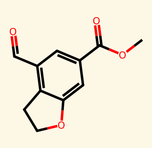 COC(=O)c1cc(C=O)c2c(c1)OCC2